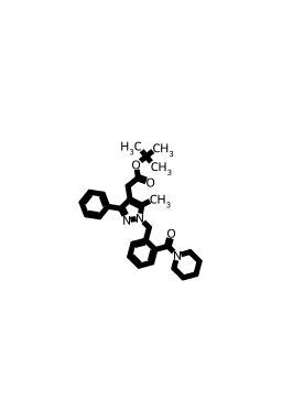 Cc1c(CC(=O)OC(C)(C)C)c(-c2ccccc2)nn1Cc1ccccc1C(=O)N1CCCCC1